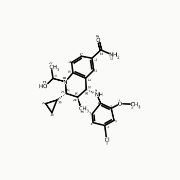 COc1cc(Cl)ccc1N[C@H]1c2cc(C(N)=O)ccc2N(C(C)O)[C@@H](C2CC2)[C@@H]1C